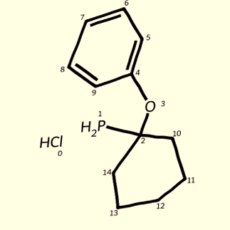 Cl.PC1(Oc2ccccc2)CCCCC1